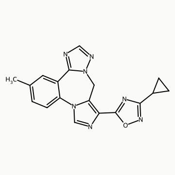 Cc1ccc2c(c1)-c1ncnn1Cc1c(-c3nc(C4CC4)no3)ncn1-2